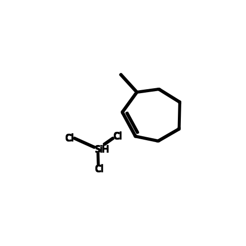 CC1C=CCCCC1.Cl[SiH](Cl)Cl